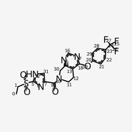 CCS(=O)(=O)c1nc(C(=O)N2CCc3c(ncnc3Oc3ccc(C(F)(F)F)cc3)C2)c[nH]1